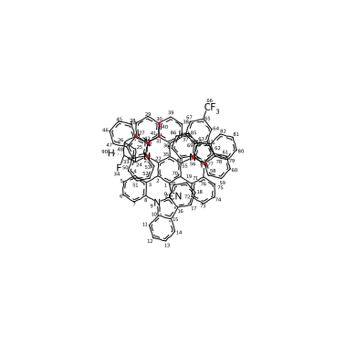 N#Cc1c(-c2ccccc2-n2c3ccccc3c3ccccc32)c(N2C3=CC(c4ccccc42)[C@@H]3F)c(-c2ccccc2-n2c3ccccc3c3ccccc32)c(-n2c3ccccc3c3cc(C(F)(F)F)ccc32)c1-c1ccccc1-n1c2ccccc2c2ccccc21